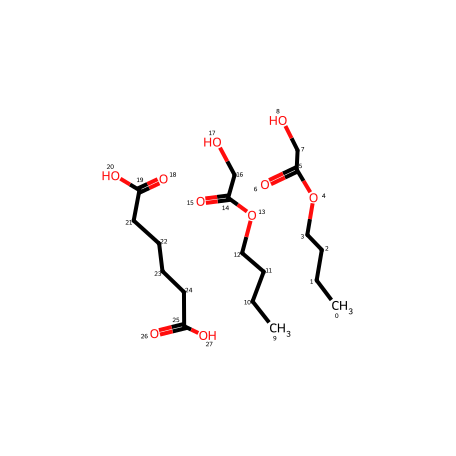 CCCCOC(=O)CO.CCCCOC(=O)CO.O=C(O)CCCCC(=O)O